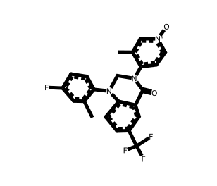 Cc1c[n+]([O-])ccc1N1CN(c2ccc(F)cc2C)c2ccc(C(F)(F)F)cc2C1=O